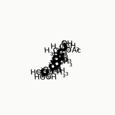 CC(=O)O[C@@H](C1C[C@@H](C)[C@H]2C(O1)C(=O)C1(C)C3CC[C@H]4C(C)(C)[C@@H](OC5OCC(O)[C@H](O)[C@H]5O)CC[C@@]45CC35CC[C@]21C)C(C)(C)O